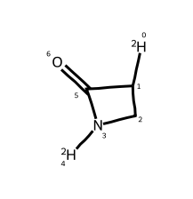 [2H]C1CN([2H])C1=O